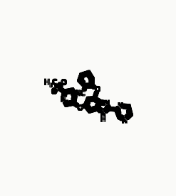 CS(=O)(=O)c1ccc(Oc2cc(Oc3ccccc3C#N)c3nc(-c4cnccn4)[nH]c3c2)cn1